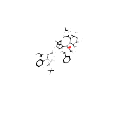 CCC(=O)O[C@@H](C(=O)O[C@H]1C[C@@]2(O)[C@@H](OC(=O)c3ccccc3)[C@@H]3[C@]4(OC(C)=O)CO[C@@H]4C[C@@H]4C[C@@]43C(=O)[C@@H](OC(C)=O)C(=C1C)C2(C)C)[C@@H](NC(=O)OC(C)(C)C)c1ccccc1